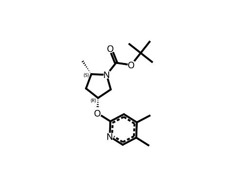 Cc1cnc(O[C@@H]2C[C@H](C)N(C(=O)OC(C)(C)C)C2)cc1C